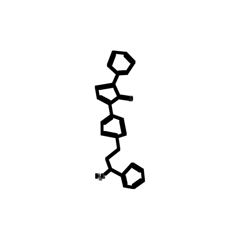 CC(CCc1ccc(C2=CC=C(c3ccccc3)C2=O)cc1)c1ccccc1